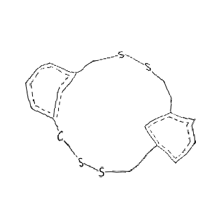 c1cc2cc(c1)CSSCc1cccc(c1)CSSC2